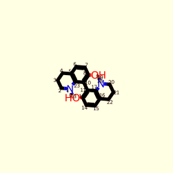 CN1CCCc2ccc(O)c(-c3c(O)ccc4c3N(C)CCC4)c21